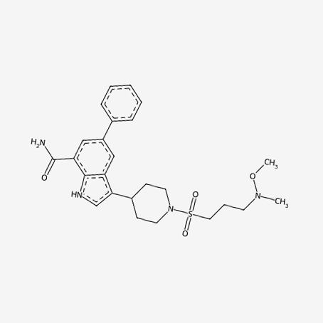 CON(C)CCCS(=O)(=O)N1CCC(c2c[nH]c3c(C(N)=O)cc(-c4ccccc4)cc23)CC1